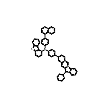 c1ccc(-c2c3ccccc3n3cc4ccc(-c5ccc(N(c6ccc(-c7cccc8ccccc78)cc6)c6cccc7oc8ccccc8c67)cc5)cc4cc23)cc1